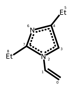 C=Cn1cc(CC)nc1CC